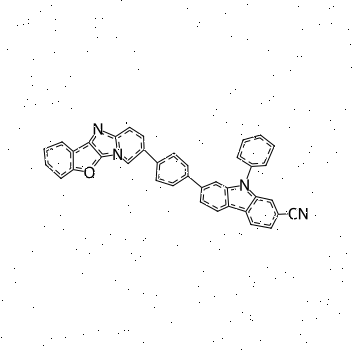 N#Cc1ccc2c3ccc(-c4ccc(-c5ccc6nc7c8ccccc8oc7n6c5)cc4)cc3n(-c3ccccc3)c2c1